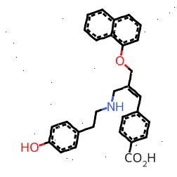 O=C(O)c1ccc(/C=C(\CNCCc2ccc(O)cc2)COc2cccc3ccccc23)cc1